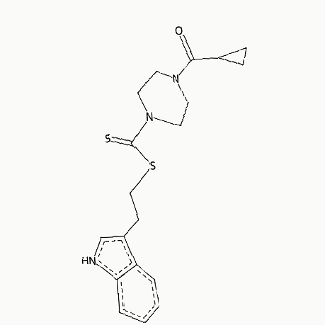 O=C(C1CC1)N1CCN(C(=S)SCCc2c[nH]c3ccccc23)CC1